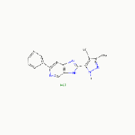 Cl.Cn1nc(C(C)(C)C)c(C#N)c1-c1nc2cc(-c3ccccc3)ncc2[nH]1